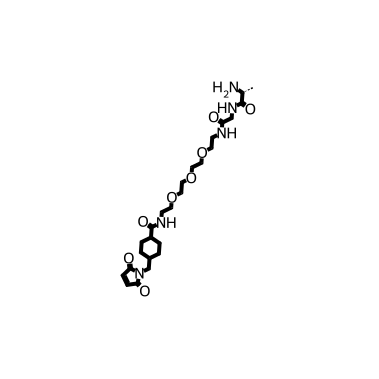 C[C@@H](N)C(=O)NCC(=O)NCCOCCOCCOCCNC(=O)C1CCC(CN2C(=O)C=CC2=O)CC1